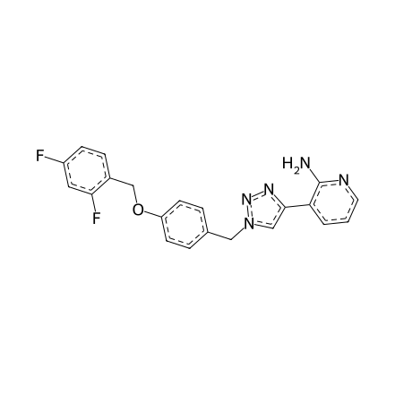 Nc1ncccc1-c1cn(Cc2ccc(OCc3ccc(F)cc3F)cc2)nn1